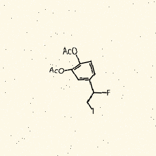 CC(=O)Oc1ccc(C(F)CI)cc1OC(C)=O